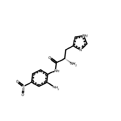 Nc1cc([SH](=O)=O)ccc1NC(=O)[C@@H](N)Cc1c[nH]cn1